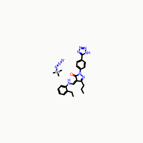 CCCC1=NN(c2ccc(-c3nnn[nH]3)cc2)C(=O)C1=CNc1ccccc1CC.[CH3][Sn]([CH3])([CH3])[N]=[N+]=[N-]